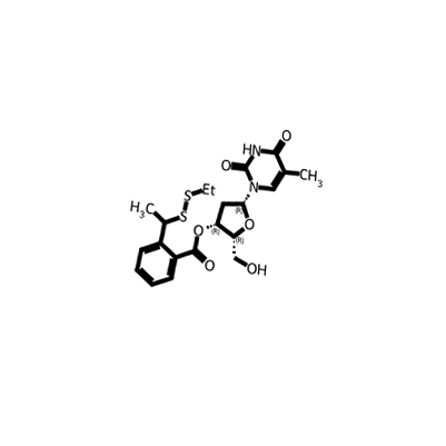 CCSSC(C)c1ccccc1C(=O)O[C@@H]1C[C@H](n2cc(C)c(=O)[nH]c2=O)O[C@@H]1CO